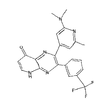 Cc1cc(-c2nc3c(=O)cc[nH]c3nc2-c2cccc(C(F)(F)F)c2)cc(N(C)C)n1